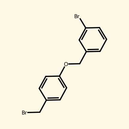 BrCc1ccc(OCc2cccc(Br)c2)cc1